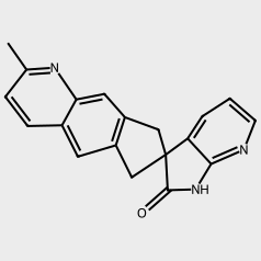 Cc1ccc2cc3c(cc2n1)CC1(C3)C(=O)Nc2ncccc21